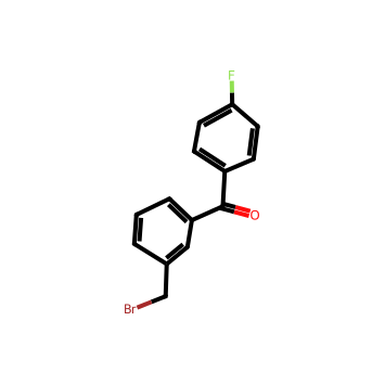 O=C(c1ccc(F)cc1)c1cccc(CBr)c1